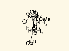 CCC(C)C(C(CC(=O)N1CCCC1C(OC)C(C)C(=O)NCCC1C=CC=CC=C1)OC)N(C)C(=O)CNC(=O)C(C)(C)NC(=O)CCCCCN1C(=O)C=CC1=O